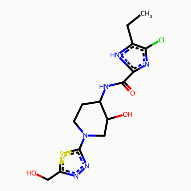 CCc1[nH]c(C(=O)NC2CCN(c3nnc(CO)s3)CC2O)nc1Cl